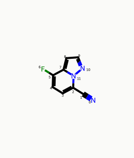 N#Cc1ccc(F)c2ccnn12